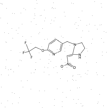 O=[N+]([O-])C=C1NCCN1Cc1ccc(OCC(F)(F)F)nc1